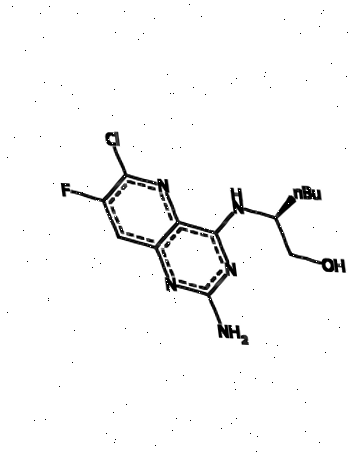 CCCC[C@@H](CO)Nc1nc(N)nc2cc(F)c(Cl)nc12